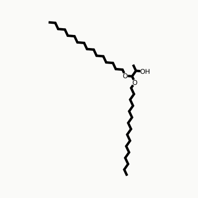 CCCCCCCCCCCCCCCCOC(OCCCCCCCCCCCCCCCC)C(C)O